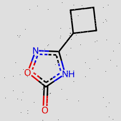 O=c1[nH]c([C]2CCC2)no1